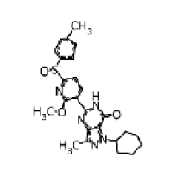 COc1nc([S+]([O-])c2ccc(C)cc2)ccc1-c1nc2c(C)nn(C3CCCCC3)c2c(=O)[nH]1